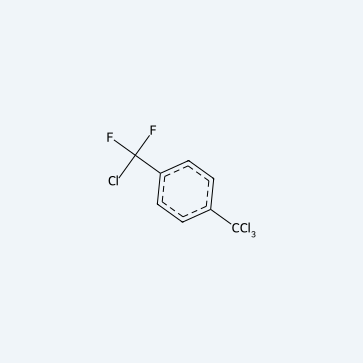 FC(F)(Cl)c1ccc(C(Cl)(Cl)Cl)cc1